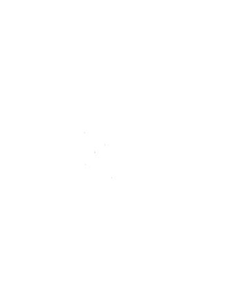 Cc1ccccc1C.ClCCl